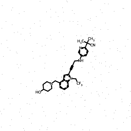 CC(C)(C#N)c1ccc(NCC#Cc2cc3c(CN4CCC(O)CC4)cccc3n2CC(F)(F)F)cn1